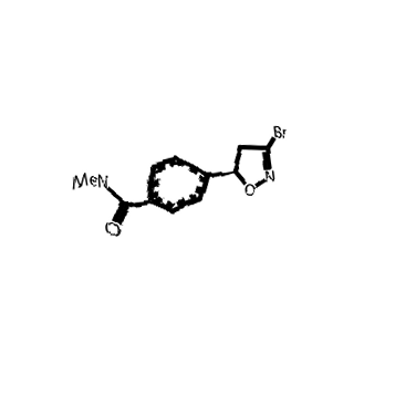 CNC(=O)c1ccc([C@H]2CC(Br)=NO2)cc1